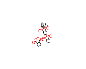 O=C([O-])c1ccccc1C(=O)[O-].O=C([O-])c1ccccc1C(=O)[O-].O=C([O-])c1ccccc1C(=O)[O-].[Bi+3].[Bi+3]